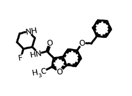 Cc1oc2ccc(OCc3ccccc3)cc2c1C(=O)NC1CNCCC1F